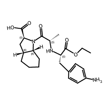 CCOC(=O)[C@H](Cc1ccc(N)cc1)N[C@@H](C)C(=O)N1[C@@H]2CCCC[C@@H]2C[C@H]1C(=O)O